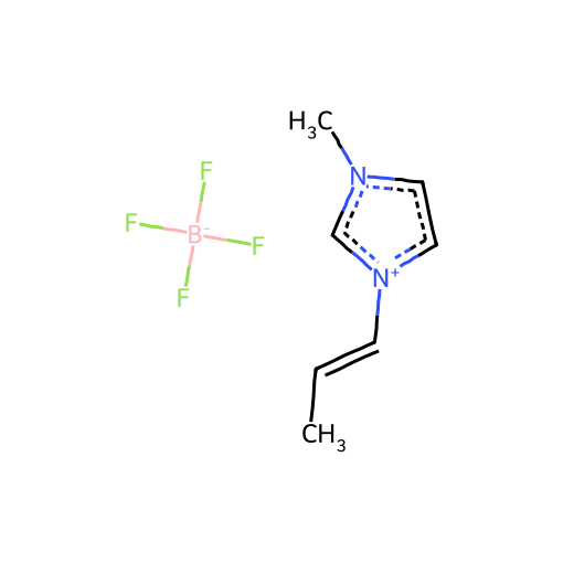 CC=C[n+]1ccn(C)c1.F[B-](F)(F)F